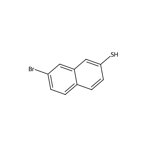 Sc1ccc2ccc(Br)cc2c1